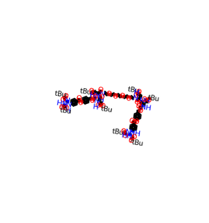 CC(C)(C)OC(=O)CC(NC(=O)[C@H](CC(=O)OC(C)(C)C)NC(=O)OCc1ccc(OC(=O)c2ccc(NC(=NC(=O)OC(C)(C)C)NC(=O)OC(C)(C)C)cc2)cc1)C(=O)NCCOCCOCCOCCOCCNC(=O)[C@H](CC(=O)OC(C)(C)C)NC(=O)[C@H](CC(=O)OC(C)(C)C)NC(=O)OCc1ccc(OC(=O)c2ccc(NC(=NC(=O)OC(C)(C)C)NC(=O)OC(C)(C)C)cc2)cc1